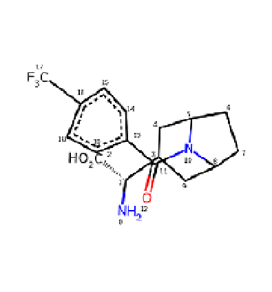 N[C@H](C(=O)O)C1CC2CCC(C1)N2C(=O)c1ccc(C(F)(F)F)cc1